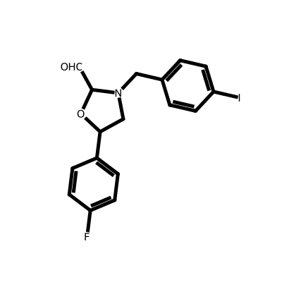 O=CC1OC(c2ccc(F)cc2)CN1Cc1ccc(I)cc1